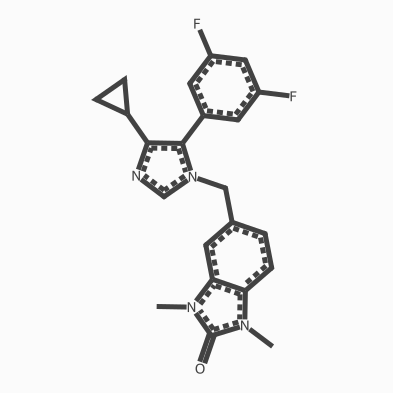 Cn1c(=O)n(C)c2cc(Cn3cnc(C4CC4)c3-c3cc(F)cc(F)c3)ccc21